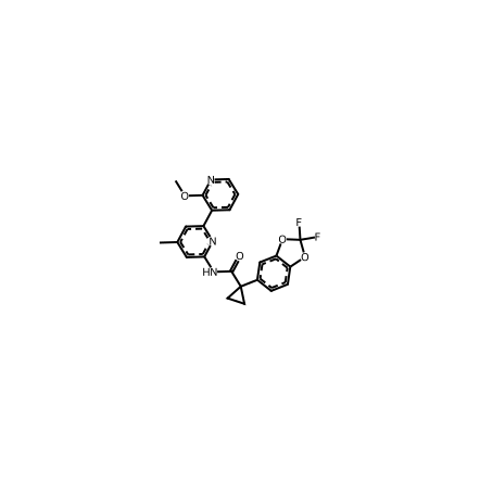 COc1ncccc1-c1cc(C)cc(NC(=O)C2(c3ccc4c(c3)OC(F)(F)O4)CC2)n1